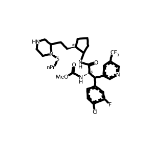 CCCSN1CCNCC1CC[C@H]1CCCC1NC(=O)[C@@H](NC(=O)OC)C(c1cncc(C(F)(F)F)c1)c1ccc(Cl)c(F)c1